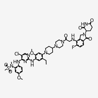 CCc1cc(Nc2ncc(Cl)c(Nc3ccc(OC)cc3N(C)S(C)(=O)=O)n2)c(OC)cc1N1CCC(N2CCN(C(=O)CNc3c(F)ccc4c3CN(C3CCC(=O)NC3=O)C4=O)CC2)CC1